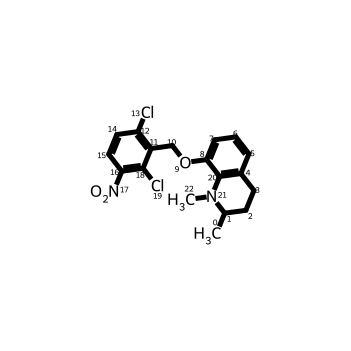 CC1CCc2cccc(OCc3c(Cl)ccc([N+](=O)[O-])c3Cl)c2N1C